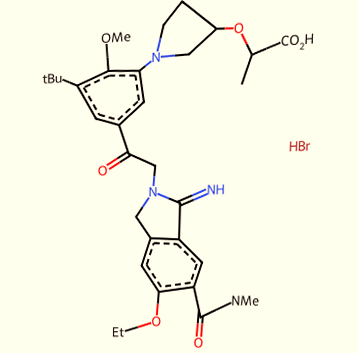 Br.CCOc1cc2c(cc1C(=O)NC)C(=N)N(CC(=O)c1cc(N3CCC(OC(C)C(=O)O)C3)c(OC)c(C(C)(C)C)c1)C2